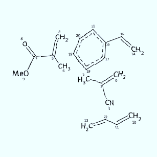 C=C(C)C#N.C=C(C)C(=O)OC.C=CC=C.C=Cc1ccccc1